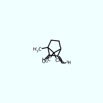 [3H]C=C1C(=O)C2(C)CCC1C2(C)C